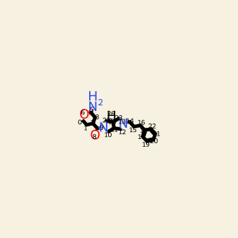 CCC(CC(N)=O)C(=O)N1CC2CN(CC[CH]c3ccccc3)C[C@H]2C1